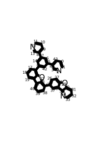 c1cncc(-c2cc(-c3cccnc3)cc(-c3cccc4c3oc3c(-c5ccc6oc7cccnc7c6c5)cccc34)c2)c1